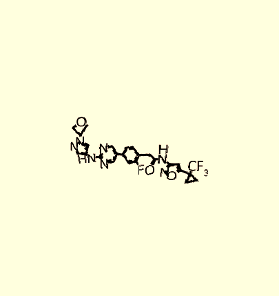 O=C(Cc1ccc(-c2cnc(Nc3cnn(C4COC4)c3)nc2)cc1F)Nc1cc(C2(C(F)(F)F)CC2)on1